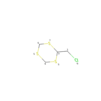 ClCC1SCSCS1